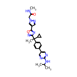 CNC(=O)Cn1cc(-c2nc([C@@](C)(c3ccc(-c4cnc(NC(C)C)nc4)cc3)C3CC3)no2)cn1